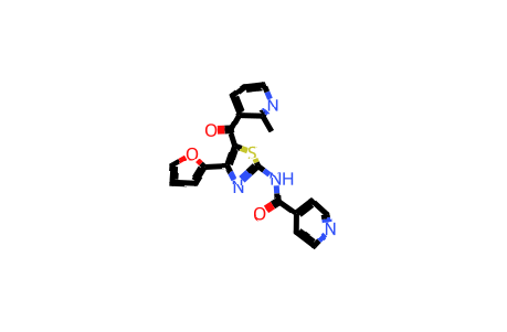 Cc1ncccc1C(=O)c1sc(NC(=O)c2ccncc2)nc1-c1ccco1